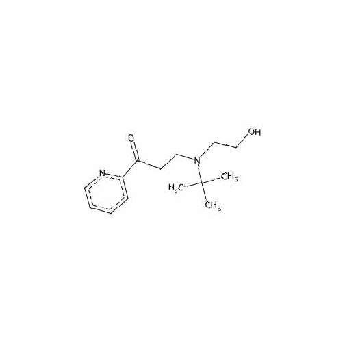 CC(C)(C)N(CCO)CCC(=O)c1ccccn1